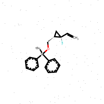 C=C[C@]1(F)C[C@H]1CO[Si](c1ccccc1)(c1ccccc1)C(C)(C)C